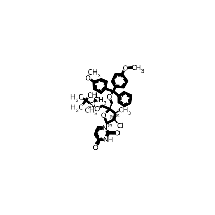 COc1ccc(C(OC[C@]2(CO[Si](C)(C)C(C)(C)C)O[C@@H](n3ccc(=O)[nH]c3=O)[C@H](Cl)[C@@H]2C)(c2ccccc2)c2ccc(OC)cc2)cc1